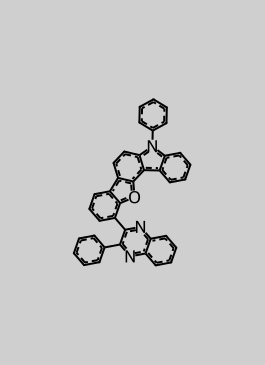 c1ccc(-c2nc3ccccc3nc2-c2cccc3c2oc2c3ccc3c2c2ccccc2n3-c2ccccc2)cc1